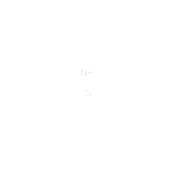 c1ccc(CN(Nc2ccccc2)c2ccccc2)cc1